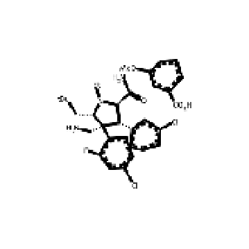 CCN1[C@@H](CC(C)(C)C)[C@](CN)(c2ccc(Cl)cc2F)[C@@H](c2cccc(Cl)c2)[C@@H]1C(N)=O.COc1cccc(C(=O)O)c1